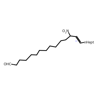 CCCCCCC/C=C/C(CCCCCCCCCCCC=O)[N+](=O)[O-]